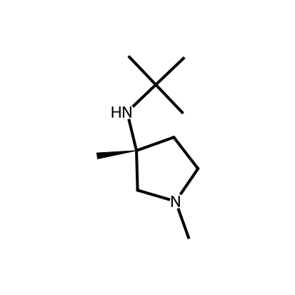 CN1CC[C@@](C)(NC(C)(C)C)C1